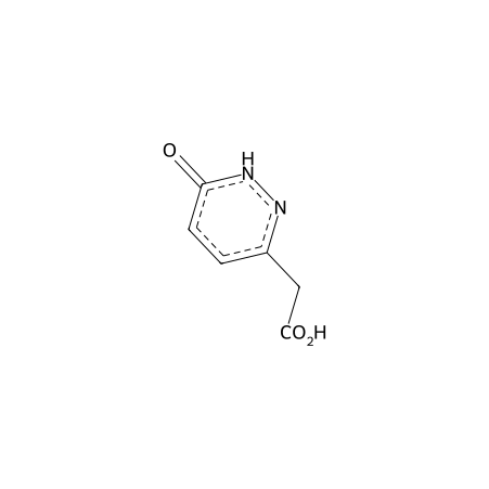 O=C(O)Cc1ccc(=O)[nH]n1